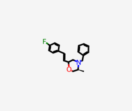 C[C@H]1COC(C=Cc2ccc(F)cc2)CN1Cc1ccccc1